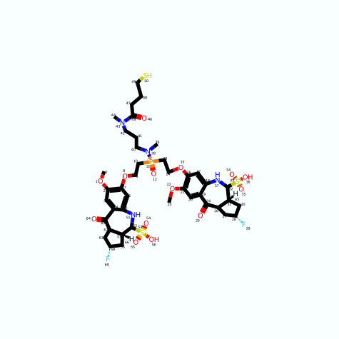 COc1cc2c(cc1OCCP(=O)(CCOc1cc3c(cc1OC)C(=O)C1C[C@@H](F)C[C@H]1C(S(=O)(=O)O)N3)N(C)CCCN(C)C(=O)CCCS)NC(S(=O)(=O)O)[C@@H]1C[C@H](F)CC1C2=O